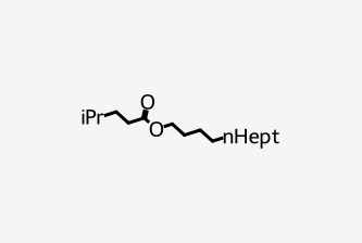 CCCCCCCCCCCOC(=O)CCC(C)C